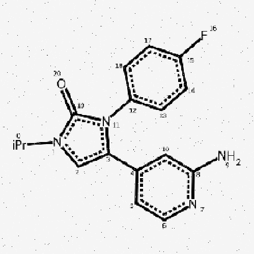 CC(C)n1cc(-c2ccnc(N)c2)n(-c2ccc(F)cc2)c1=O